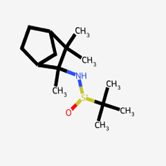 CC(C)(C)[S+]([O-])NC1(C)C2CCC(C2)C1(C)C